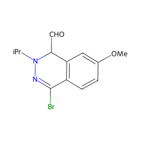 COc1ccc2c(c1)C(C=O)N(C(C)C)N=C2Br